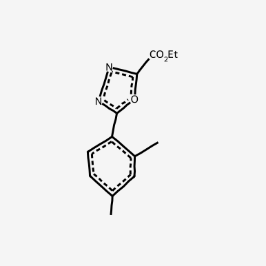 CCOC(=O)c1nnc(-c2ccc(C)cc2C)o1